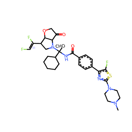 CN1CCN(c2nc(-c3ccc(C(=O)NC(C=O)(C4CCCCC4)N4CC(/C(F)=C/F)C5OCC(=O)C54)cc3)c(F)s2)CC1